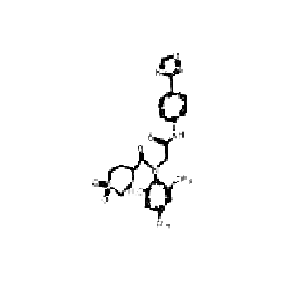 Cc1cc(C)c(N(CC(=O)Nc2ccc(-c3ncon3)cc2)C(=O)C2CCS(=O)(=O)CC2)c(C)c1